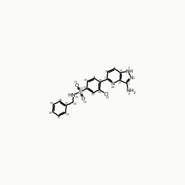 Nc1n[nH]c2ccc(-c3ccc(S(=O)(=O)NCc4ccccc4)cc3Cl)nc12